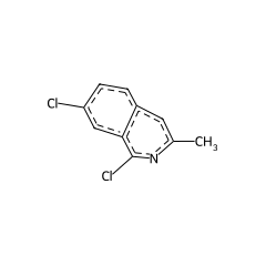 Cc1cc2ccc(Cl)cc2c(Cl)n1